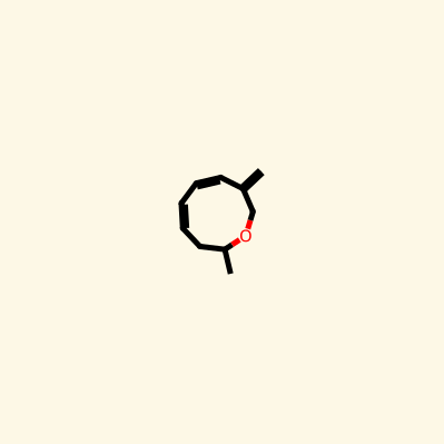 C=C1/C=C\C=C/CC(C)OC1